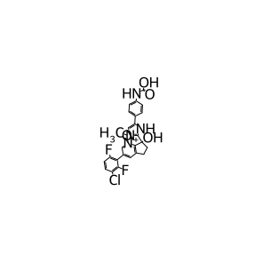 CO[n+]1cc(-c2c(F)ccc(Cl)c2F)cc2c1C(O)(c1ncc(-c3ccc(NC(=O)O)cc3)[nH]1)CC2